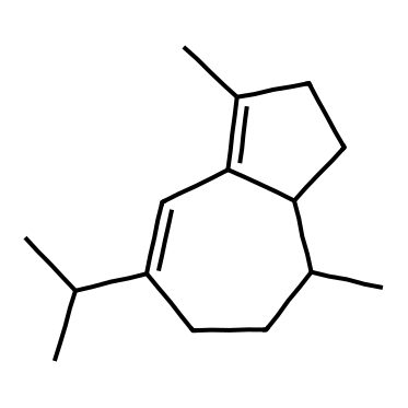 CC1=C2C=C(C(C)C)CCC(C)C2CC1